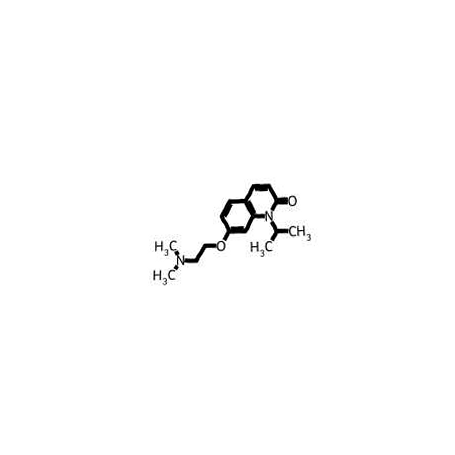 CC(C)n1c(=O)ccc2ccc(OCCN(C)C)cc21